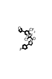 O=C(c1nc2c(C(F)(F)F)cc(-c3ccoc3)cn2c1Cl)N1CCC(c2ccc(F)cc2)C1